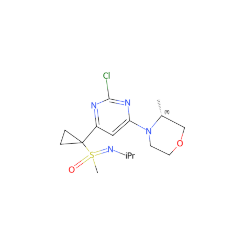 CC(C)N=S(C)(=O)C1(c2cc(N3CCOC[C@H]3C)nc(Cl)n2)CC1